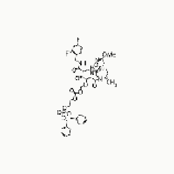 COC1=NO[C@@]2(CC[C@H](C)N3C[C@H]2n2cc(C(=O)NCc4ccc(F)cc4F)c(=O)c(OCOC(=O)OCCOP(=O)(OCc4ccccc4)OCc4ccccc4)c2C3=O)C1